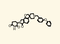 O=C1CCC(N2Cc3c(ccc4c3OCC43CCN(Cc4cccc(Oc5ccccc5)c4)CC3)C2=O)C(=O)N1